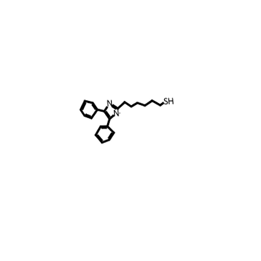 SCCCCCCC1=NC(c2ccccc2)=C(c2ccccc2)[N]1